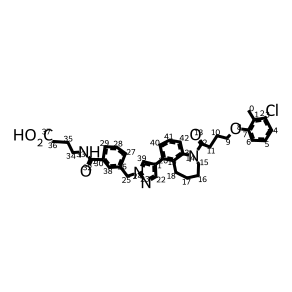 Cc1c(Cl)cccc1OCCCC(=O)N1CCCCc2c(-c3cnn(Cc4cccc(C(=O)NCCCC(=O)O)c4)c3)cccc21